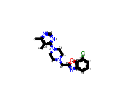 Cc1ncnc(N2CCN(Cc3nc4cccc(Cl)c4o3)CC2)c1C